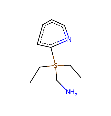 CCS(CC)(CN)c1ccccn1